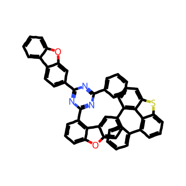 c1ccc(-c2nc(-c3ccc4c(c3)oc3ccccc34)nc(-c3cccc4oc5ccc(-c6cccc7sc8cccc(-c9ccccc9)c8c67)cc5c34)n2)cc1